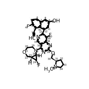 C#Cc1c(F)ccc2cc(O)cc(-c3ncc4c(N5CCOC[C@H]6[C@H](F)[C@H]65)nc(OC[C@H]5CCCN5C)nc4c3F)c12